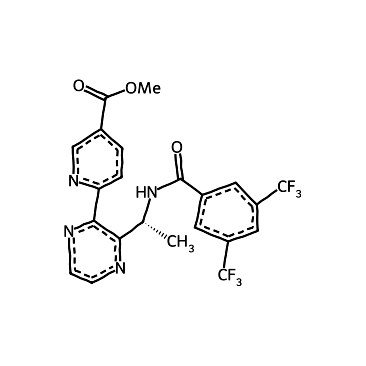 COC(=O)c1ccc(-c2nccnc2[C@@H](C)NC(=O)c2cc(C(F)(F)F)cc(C(F)(F)F)c2)nc1